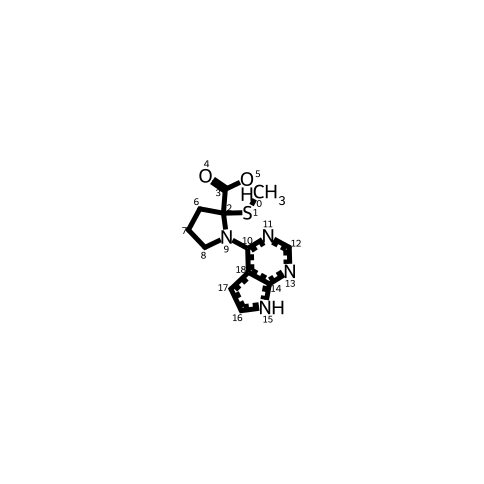 CSC1(C(=O)O)CCCN1c1ncnc2[nH]ccc12